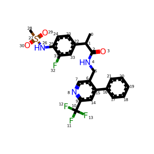 CC(C(=O)NCc1cnc(C(F)(F)F)cc1-c1ccccc1)c1ccc(NS(C)(=O)=O)c(F)c1